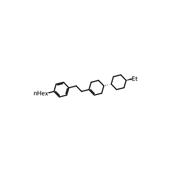 CCCCCCc1ccc(CCC2=CCC([C@H]3CC[C@H](CC)CC3)CC2)cc1